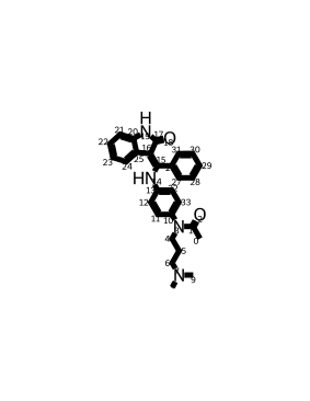 CC(=O)N(CCCN(C)C)c1ccc(NC(=C2C(=O)Nc3ccccc32)c2ccccc2)cc1